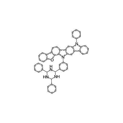 c1ccc(C2NC(c3ccccc3)NC(c3cccc(-n4c5cc6c7ccccc7n(-c7ccccc7)c6cc5c5ccc6c7ccccc7oc6c54)c3)N2)cc1